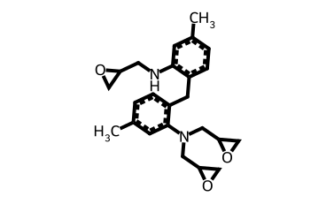 Cc1ccc(Cc2ccc(C)cc2N(CC2CO2)CC2CO2)c(NCC2CO2)c1